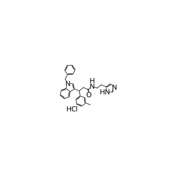 Cc1cccc(C(CC(=O)NCCc2cnc[nH]2)c2cn(Cc3ccccc3)c3ccccc23)c1.Cl